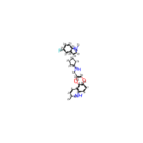 CC1C=Cc2c(ccc3c2OC(CN[C@@H]2CC[C@H](c4cn(C)c5ccc(F)cc45)C2)=CO3)N1